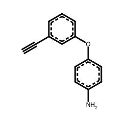 C#Cc1cccc(Oc2ccc(N)cc2)c1